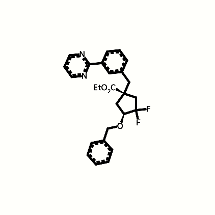 CCOC(=O)[C@]1(Cc2cccc(-c3ncccn3)c2)C[C@H](OCc2ccccc2)C(F)(F)C1